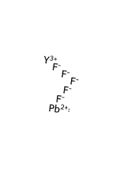 [F-].[F-].[F-].[F-].[F-].[Pb+2].[Y+3]